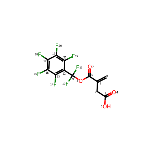 C=C(CC(=O)O)C(=O)OC(F)(F)c1c(F)c(F)c(F)c(F)c1F